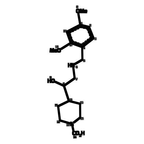 COc1ccc(CNCC(O)C2CCN(C(=O)O)CC2)c(OC)c1